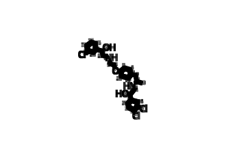 CC(Cc1ccc(OCCNCC(O)c2cccc(Cl)c2)cc1)NCC(O)c1ccc(Cl)c(Cl)c1